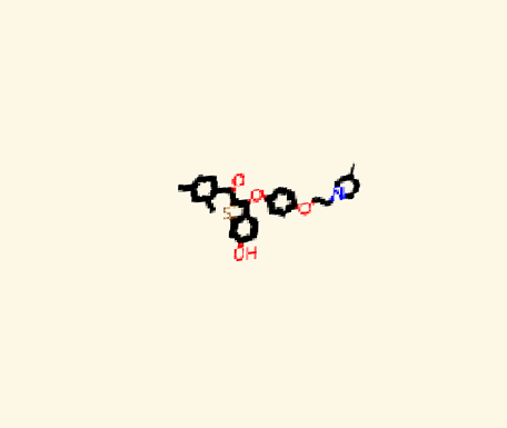 Cc1ccc(C(=O)c2sc3cc(O)ccc3c2Oc2ccc(OCCN3CC[C@H](C)C3)cc2)c(C)c1